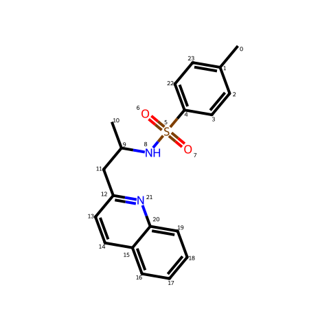 Cc1ccc(S(=O)(=O)NC(C)Cc2ccc3ccccc3n2)cc1